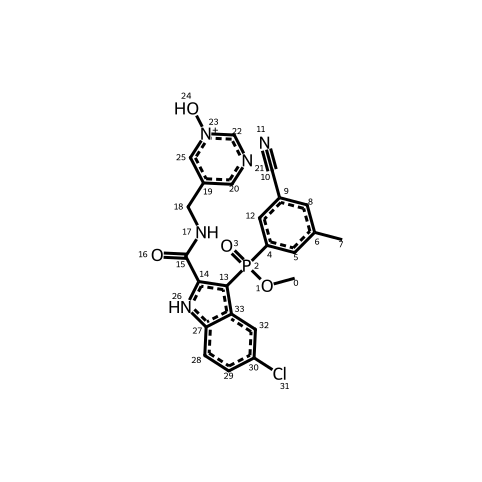 COP(=O)(c1cc(C)cc(C#N)c1)c1c(C(=O)NCc2cnc[n+](O)c2)[nH]c2ccc(Cl)cc12